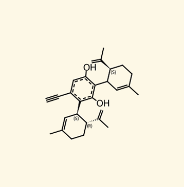 C#Cc1cc(O)c(C2C=C(C)CC[C@@H]2C(=C)C)c(O)c1[C@@H]1C=C(C)CC[C@H]1C(=C)C